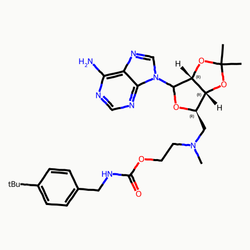 CN(CCOC(=O)NCc1ccc(C(C)(C)C)cc1)C[C@H]1OC(n2cnc3c(N)ncnc32)[C@@H]2OC(C)(C)O[C@H]12